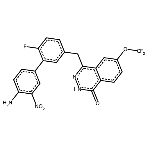 Nc1ccc(-c2cc(Cc3n[nH]c(=O)c4ccc(OC(F)(F)F)cc34)ccc2F)cc1[N+](=O)[O-]